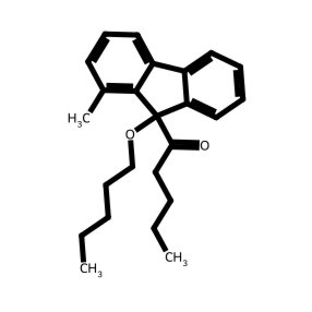 CCCCCOC1(C(=O)CCCC)c2ccccc2-c2cccc(C)c21